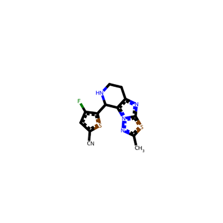 Cc1nn2c3c(nc2s1)CCNC3c1sc(C#N)cc1F